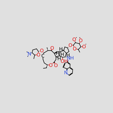 CC[C@H]1CCC[C@H](O[C@H]2CC[C@H](N(C)C)C(C)O2)[C@@H](C)C(=O)C2=C[C@H]3[C@@H]4C[C@H](O[C@@H]5OC(C)[C@H](OC)C(OC)C5OC)C[C@H]4[C@H](Nc4ccc5ncccc5c4)[C@@H](O)[C@H]3[C@@H]2CC(=O)O1